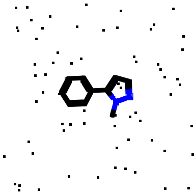 Cn1nccc1-c1c[c]ccc1